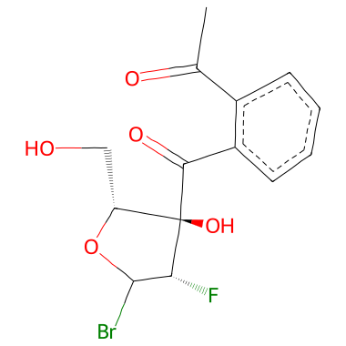 CC(=O)c1ccccc1C(=O)[C@]1(O)[C@H](F)C(Br)O[C@@H]1CO